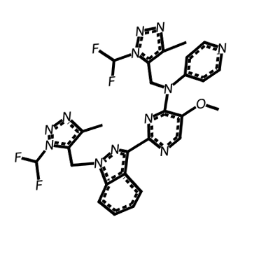 COc1cnc(-c2nn(Cc3c(C)nnn3C(F)F)c3ccccc23)nc1N(Cc1c(C)nnn1C(F)F)c1ccncc1